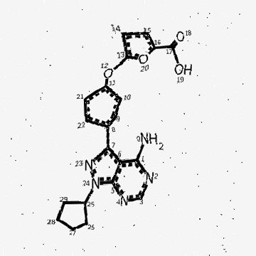 Nc1ncnc2c1c(-c1ccc(Oc3ccc(C(=O)O)o3)cc1)nn2C1CCCC1